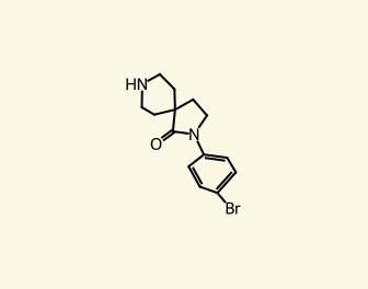 O=C1N(c2ccc(Br)cc2)CCC12CCNCC2